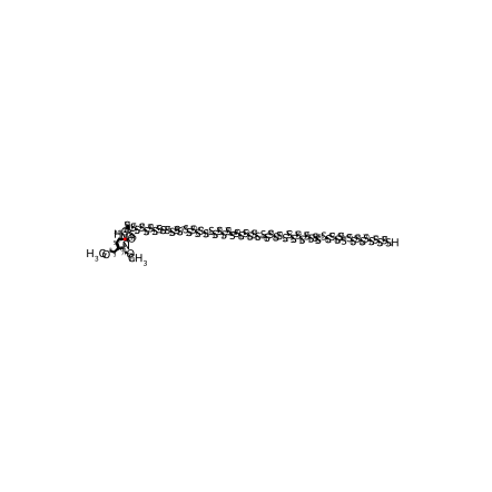 COCCC1=C[C@H]2CN(C(=O)N2OS(=S)(=S)SSSSSSSSSSSSSSSSSSSSSSSSSSSSSSSSSSSSSSSSSSSSSSSSSSSSSSSSSSSS)[C@@H]1COC